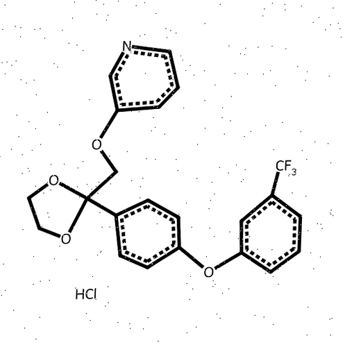 Cl.FC(F)(F)c1cccc(Oc2ccc(C3(COc4cccnc4)OCCO3)cc2)c1